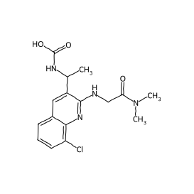 CC(NC(=O)O)c1cc2cccc(Cl)c2nc1NCC(=O)N(C)C